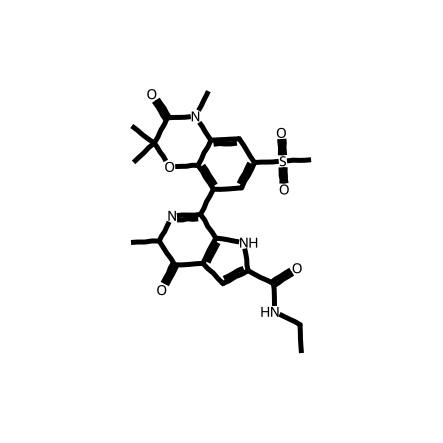 CCNC(=O)c1cc2c([nH]1)C(c1cc(S(C)(=O)=O)cc3c1OC(C)(C)C(=O)N3C)=NC(C)C2=O